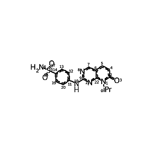 CC(C)n1c(=O)ccc2cnc(Nc3ccc(S(N)(=O)=O)cc3)nc21